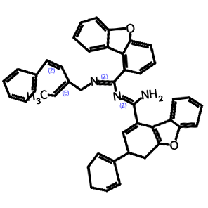 C/C=C(\C=C/c1ccccc1)C/N=C(\N=C(/N)C1=CC(C2=CCCC=C2)Cc2oc3ccccc3c21)c1cccc2oc3ccccc3c12